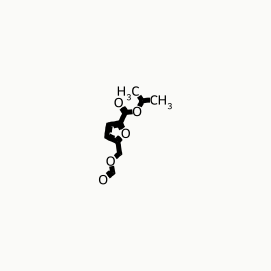 CC(C)OC(=O)c1ccc(COC=O)o1